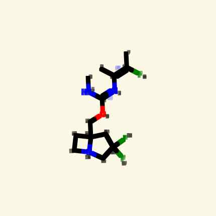 CN/C(=N\C(C)=C(\C)F)OCC12CCN1CC(F)(F)C2